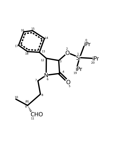 CC(C)[Si](OC1C(=O)N(CC[C@@H](C)C=O)C1c1ccccc1)(C(C)C)C(C)C